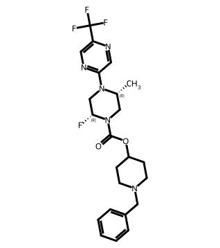 C[C@@H]1CN(C(=O)OC2CCN(Cc3ccccc3)CC2)[C@H](F)CN1c1cnc(C(F)(F)F)cn1